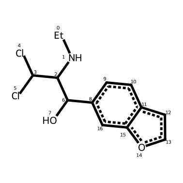 CCNC(C(Cl)Cl)C(O)c1ccc2ccoc2c1